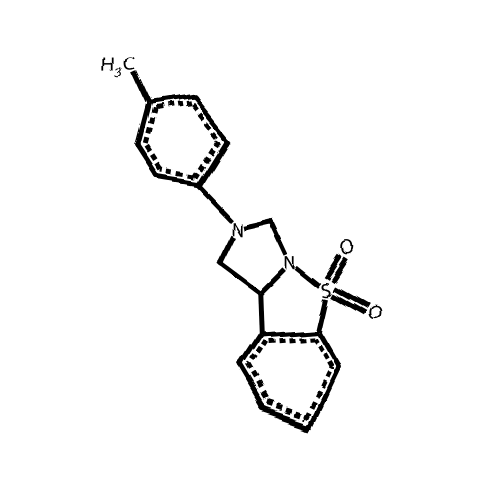 Cc1ccc(N2CC3c4ccccc4S(=O)(=O)N3C2)cc1